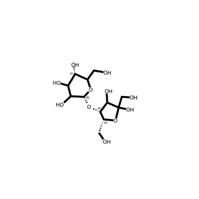 OCC1O[C@H](O[C@@H]2C(O)C(O)(CO)O[C@@H]2CO)C(O)C(O)[C@@H]1O